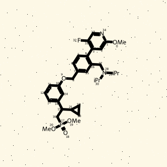 COc1cc(-c2ccc(COc3cccc(C(CP(=O)(OC)OC)C4CC4)c3)cc2CN(C(C)C)C(C)C)c(F)cn1